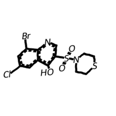 O=S(=O)(c1cnc2c(Br)cc(Cl)cc2c1O)N1CCSCC1